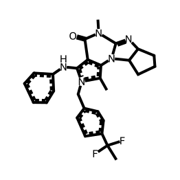 Cc1c2c(c(Nc3ccccc3)n1Cc1ccc(C(C)(F)F)cc1)C(=O)N(C)C1=NC3CCCC3N12